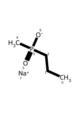 CCCP(C)(=O)[O-].[Na+]